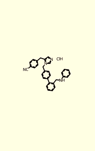 Cl.N#Cc1ccc(Cc2cncn2Cc2ccc(-c3ccccc3CNc3ccccc3)cc2)cc1